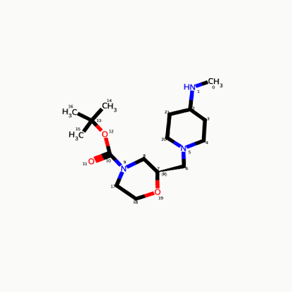 CNC1CCN(C[C@@H]2CN(C(=O)OC(C)(C)C)CCO2)CC1